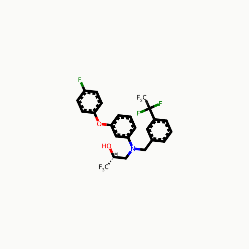 O[C@H](CN(Cc1cccc(C(F)(F)C(F)(F)F)c1)c1cccc(Oc2ccc(F)cc2)c1)C(F)(F)F